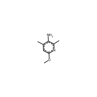 COc1cc(C)c(N)c(C)n1